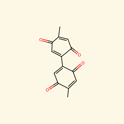 CC1=CC(=O)C(C2=CC(=O)C(C)=CC2=O)=CC1=O